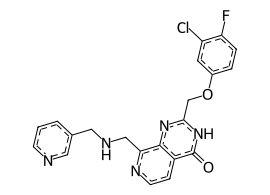 O=c1[nH]c(COc2ccc(F)c(Cl)c2)nc2c(CNCc3cccnc3)nccc12